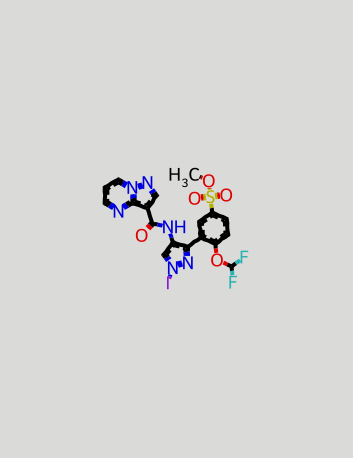 COS(=O)(=O)c1ccc(OC(F)F)c(-c2nn(I)cc2NC(=O)c2cnn3cccnc23)c1